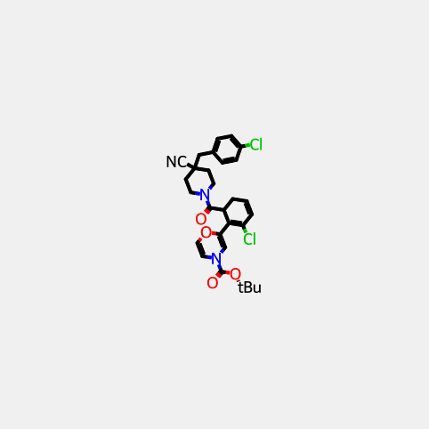 CC(C)(C)OC(=O)N1C=COC(C2=C(Cl)C=CCC2C(=O)N2CCC(C#N)(Cc3ccc(Cl)cc3)CC2)=C1